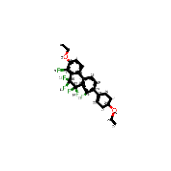 CCOc1ccc2c(c1F)C(F)(F)C(F)(F)c1c-2ccc(C2=CCC(OCC)CC2)c1F